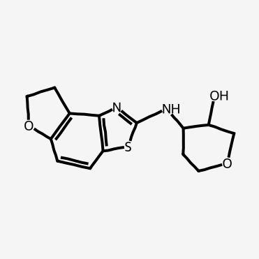 OC1COCCC1Nc1nc2c3c(ccc2s1)OCC3